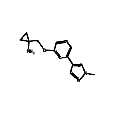 Cn1cc(-c2c[c]cc(OCC3(N)CC3)c2)cn1